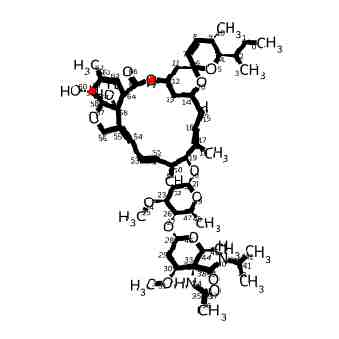 CCC(C)[C@H]1O[C@]2(C=C[C@@H]1C)C[C@@H]1C[C@@H](C/C=C(\C)[C@@H](O[C@H]3C[C@H](OC)[C@@H](O[C@H]4C[C@H](OC)[C@](NC(C)=O)(C(=O)NC(C)C)[C@H](C)O4)[C@H](C)O3)C(C)/C=C/C=C3\CO[C@@H]4[C@H](O)C(C)=C[C@@H](C(=O)O1)[C@]34O)O2